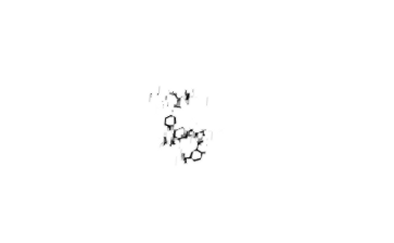 CC(C)C(NC(=O)c1cc(C(F)(F)F)ccc1F)C(=O)N1CCC2(CC1)C(=O)N(C)C(=O)N2c1ccc(NC2CN(C(=O)O)C2C(C)(C)C)cc1